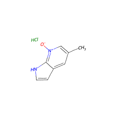 Cc1cc2cc[nH]c2[n+]([O-])c1.Cl